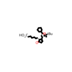 CC(C)(C)[Si](C)(C)O[C@H](CCC1=CCC(=O)[C@@H]1CCCCCCC(=O)O)C1CCCCC1